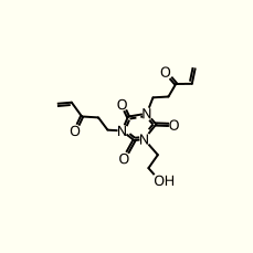 C=CC(=O)CCn1c(=O)n(CCO)c(=O)n(CCC(=O)C=C)c1=O